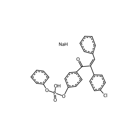 O=C(C(=Cc1ccccc1)c1ccc(Cl)cc1)c1ccc(OP(=O)(O)Oc2ccccc2)cc1.[NaH]